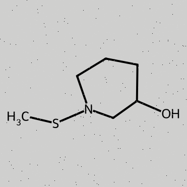 CSN1CCCC(O)C1